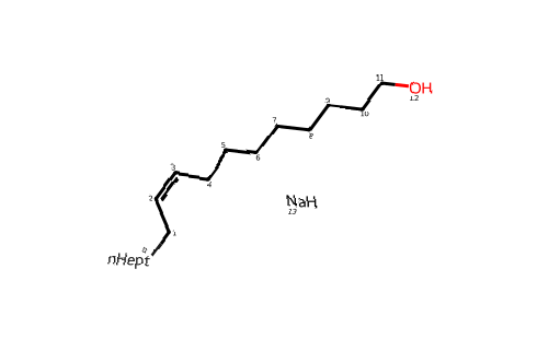 CCCCCCCC/C=C\CCCCCCCCO.[NaH]